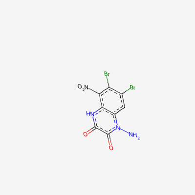 Nn1c(=O)c(=O)[nH]c2c([N+](=O)[O-])c(Br)c(Br)cc21